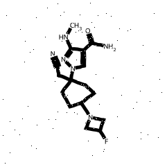 CNc1nn(C2(CC#N)CCC(N3CC(F)C3)CC2)cc1C(N)=O